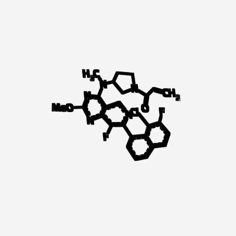 C=CC(=O)N1CCC(N(C)c2nc(OC)nc3c(F)c(-c4cccc5ccc(F)c(Cl)c45)ncc23)C1